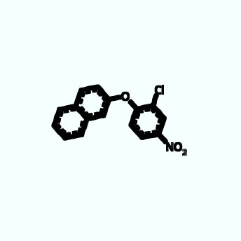 O=[N+]([O-])c1ccc(Oc2ccc3ccccc3c2)c(Cl)c1